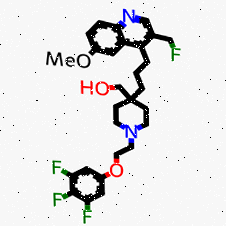 COc1ccc2ncc(CF)c(CCCC3(CO)CCN(CCOc4cc(F)c(F)c(F)c4)CC3)c2c1